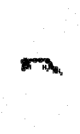 Cn1c(=O)n(C2CCC(=O)NC2=O)c2ccc(CCCOCCCOCCCc3ccc(COC[C@@H](N)CCC(N)=O)cc3)cc21